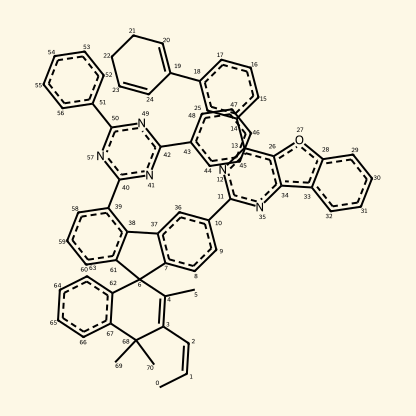 C/C=C\C1=C(C)C2(c3ccc(-c4nc(-c5cccc(C6=CCCC=C6)c5)c5oc6ccccc6c5n4)cc3-c3c(-c4nc(-c5ccccc5)nc(-c5ccccc5)n4)cccc32)c2ccccc2C1(C)C